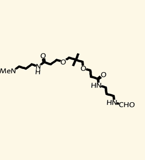 CNCCCNC(=O)CCOCC(C)(C)COCCC(=O)NCCCNC=O